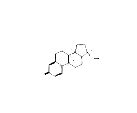 CS[C@@]1(S)CC[C@H]2[C@@H]3CCC4=CC(=O)C=C[C@]4(C)[C@@]3(F)CC[C@@]21C